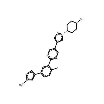 Cn1cc(-c2ccc(F)c(-c3ncc(-c4cnn([C@H]5CC[C@H](O)CC5)c4)cn3)c2)cn1